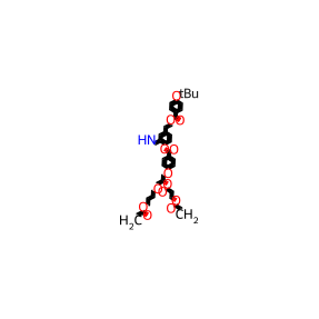 C=CC(=O)OCCCCOCC(COc1ccc(C(=O)Oc2ccc(CCOC(=O)c3ccc(OC(C)(C)C)cc3)cc2C=N)cc1)OC(=O)CCOC(=O)C=C